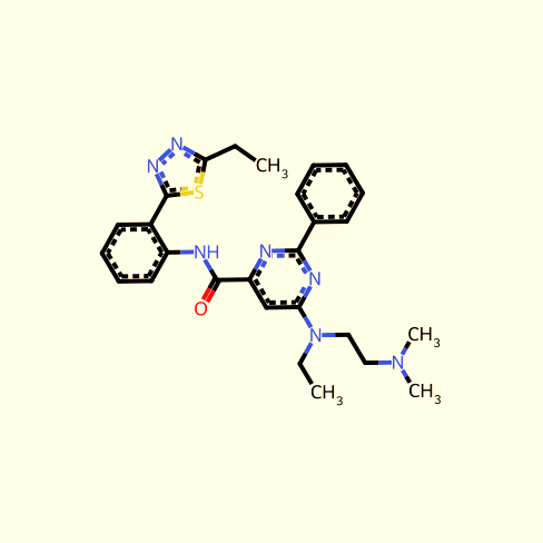 CCc1nnc(-c2ccccc2NC(=O)c2cc(N(CC)CCN(C)C)nc(-c3ccccc3)n2)s1